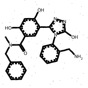 CN(Cc1ccccc1)C(=O)c1cc(-c2nnc(O)n2-c2ccccc2CN)c(O)cc1O